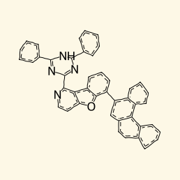 c1ccc(C2=NC(c3nccc4oc5c(-c6cc7ccc8ccccc8c7c7ccccc67)cccc5c34)=NC(c3ccccc3)N2)cc1